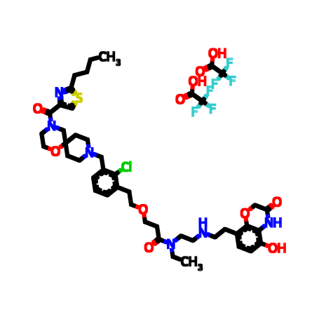 CCCCc1nc(C(=O)N2CCOC3(CCN(Cc4cccc(CCOCCC(=O)N(CC)CCNCCc5ccc(O)c6c5OCC(=O)N6)c4Cl)CC3)C2)cs1.O=C(O)C(F)(F)F.O=C(O)C(F)(F)F